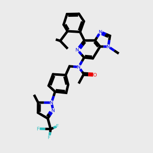 CC(=O)N(Cc1ccc(-n2nc(C(F)(F)F)cc2C)cc1)c1cc2c(ncn2C)c(-c2ccccc2C(C)C)n1